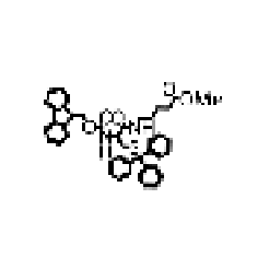 COC(=O)CCCCNC(=O)C(CSC(c1ccccc1)(c1ccccc1)c1ccccc1)NC(=O)OCC1c2ccccc2-c2ccccc21